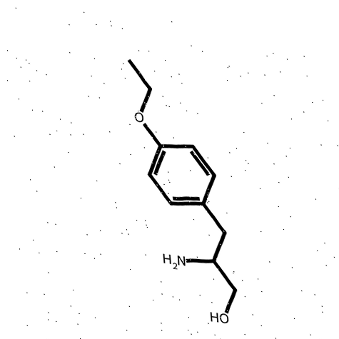 CCOc1ccc(CC(N)CO)cc1